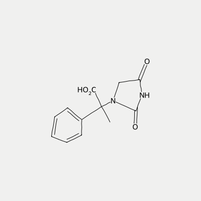 CC(C(=O)O)(c1ccccc1)N1CC(=O)NC1=O